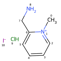 C[n+]1ccccc1CN.Cl.[I-]